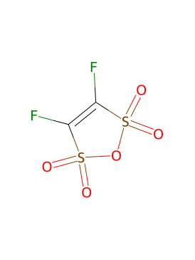 O=S1(=O)OS(=O)(=O)C(F)=C1F